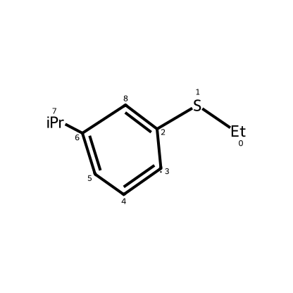 CCSc1[c]ccc(C(C)C)c1